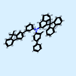 Cc1cc(-c2ccccc2)ccc1N(c1cccc(-c2ccc3c(c2)C(C)(C)c2ccccc2-3)c1)c1cc2c3c(cccc3c1)C21c2ccccc2-c2ccccc21